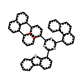 c1ccc(-c2cccc3cccc(-c4ccc(-c5nc(-c6cccc7c6oc6ccccc67)nc(-c6cccc7ccc8ccccc8c67)n5)cc4)c23)cc1